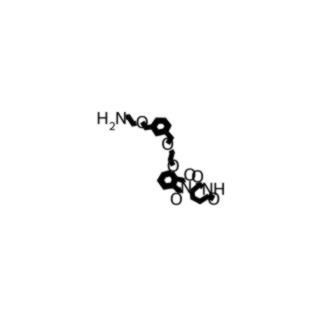 NCCOCc1cccc(COCCOc2cccc3c2C(=O)N(C2CCC(=O)NC2=O)C3=O)c1